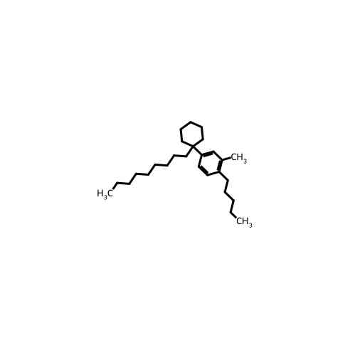 CCCCCCCCCC1(c2ccc(CCCCC)c(C)c2)CCCCC1